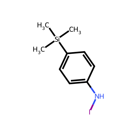 C[Si](C)(C)c1ccc(NI)cc1